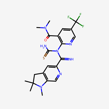 CN(C)C(=O)c1cc(C(F)(F)F)cnc1N(C(=N)c1cc2c(cn1)N(C)C(C)(C)C2)C(N)=S